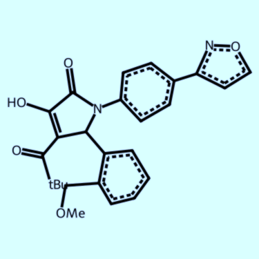 COCc1ccccc1C1C(C(=O)C(C)(C)C)=C(O)C(=O)N1c1ccc(-c2ccon2)cc1